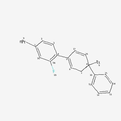 CCCc1ccc(C2=CCC(CC)(c3ccccc3)C=C2)c(F)c1